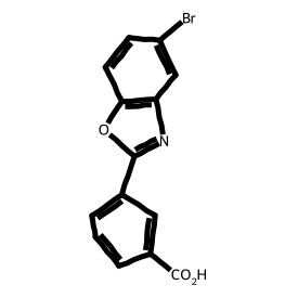 O=C(O)c1cccc(-c2nc3cc(Br)ccc3o2)c1